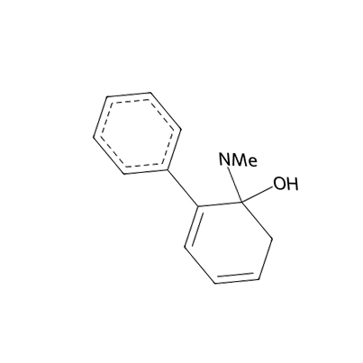 CNC1(O)CC=CC=C1c1ccccc1